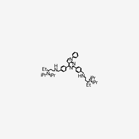 CCC(CCNCc1ccc(-c2nc(-c3ccc(CNCCC(CC)N(C(C)C)C(C)C)cc3)c3ccn(-c4ccccc4)c3n2)cc1)N(C(C)C)C(C)C